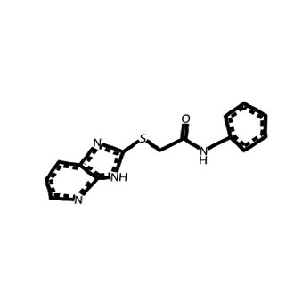 O=C(CSc1nc2cccnc2[nH]1)Nc1ccccc1